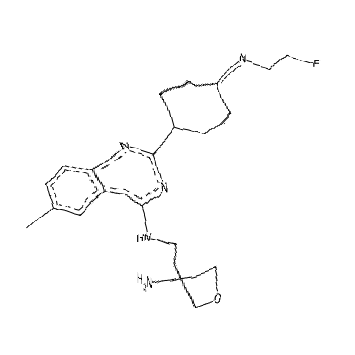 Cc1ccc2nc(C3CCC(=NCCF)CC3)nc(NCC3(N)COC3)c2c1